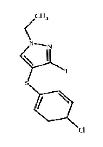 CCn1cc(SC2=CCC(Cl)C=C2)c(I)n1